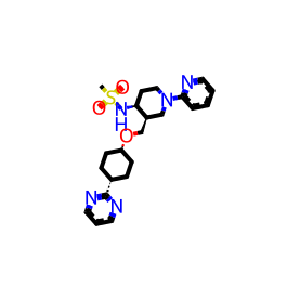 CS(=O)(=O)N[C@H]1CCN(c2ccccn2)C[C@H]1CO[C@H]1CC[C@@H](c2ncccn2)CC1